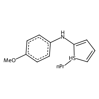 CCC[SH]1C=CC=C1Nc1ccc(OC)cc1